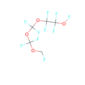 FCOC(F)(F)OC(F)(F)OC(F)(F)C(F)(F)OF